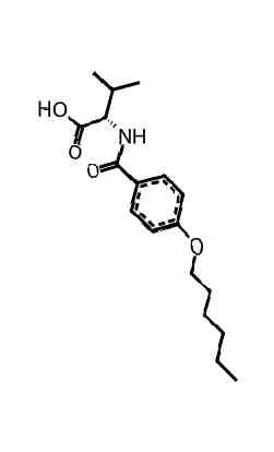 CCCCCCOc1ccc(C(=O)N[C@H](C(=O)O)C(C)C)cc1